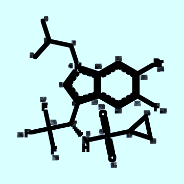 CC(C)Cn1cc([C@H](NS(=O)(=O)C2CC2)C(F)(F)F)c2cc(F)c(Br)cc21